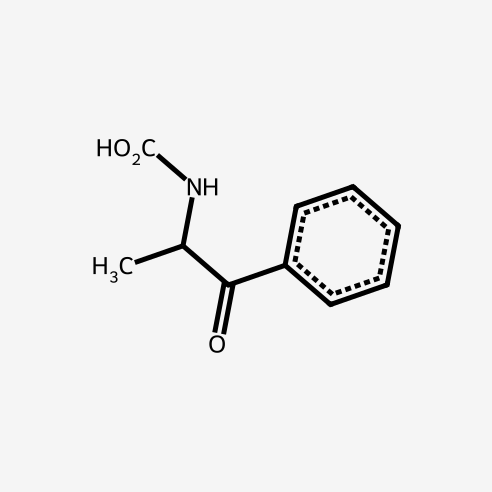 CC(NC(=O)O)C(=O)c1ccccc1